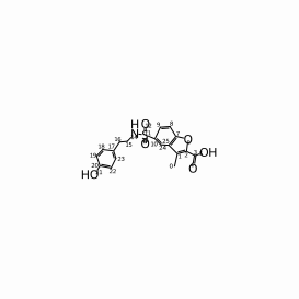 Cc1c(C(=O)O)oc2ccc(S(=O)(=O)NCCc3ccc(O)cc3)cc12